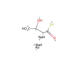 O=C(S)CC(O)C(=O)O.[Au].[NaH].[NaH]